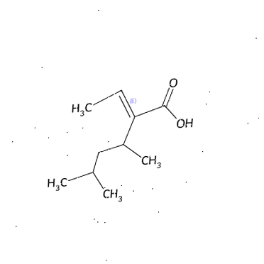 C/C=C(/C(=O)O)C(C)CC(C)C